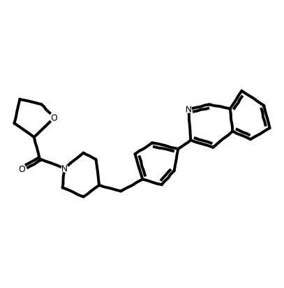 O=C(C1CCCO1)N1CCC(Cc2ccc(-c3cc4ccccc4cn3)cc2)CC1